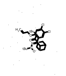 C=CCOc1cc(Cl)c(Cl)cc1/C(=N/[S+]([O-])C(C)(C)C)C1C2CC1CN(C(=O)OC(C)(C)C)C2